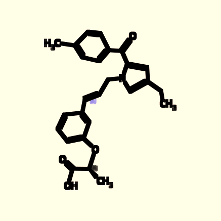 CCc1cc(C(=O)c2ccc(C)cc2)n(C/C=C/c2cccc(O[C@@H](C)C(=O)O)c2)c1